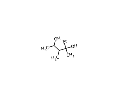 CCC(C)(O)C(C)C(C)O